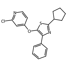 Clc1cc(Oc2sc(C3CCCC3)nc2-c2ccccc2)ccn1